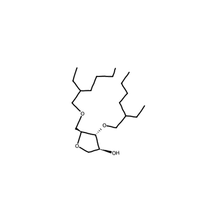 CCCCC(CC)COC[C@@H]1OC[C@H](O)[C@H]1OCC(CC)CCCC